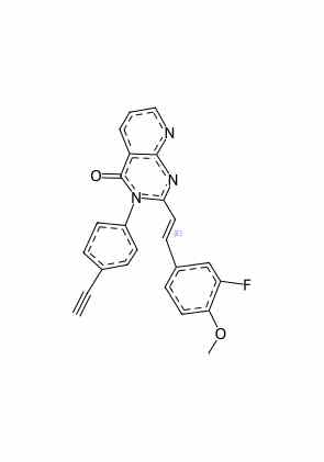 C#Cc1ccc(-n2c(/C=C/c3ccc(OC)c(F)c3)nc3ncccc3c2=O)cc1